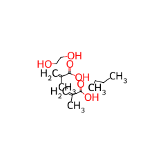 C=C(C)C(=O)O.C=C(C)C(=O)O.CCCC.OCCO